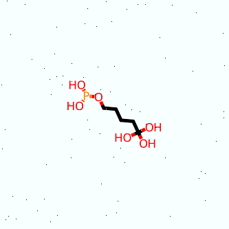 OP(O)OCCCCC(O)(O)O